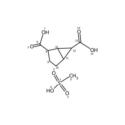 CS(=O)(=O)O.O=C(O)C1CCC2C(C(=O)O)C12